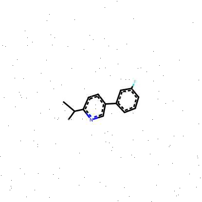 CC(C)c1ccc(-c2cccc(F)c2)cn1